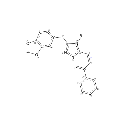 C=C(/C=C\c1nnc(Cc2ccc3c(c2)OCO3)n1C)c1ccccc1